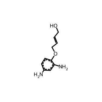 Nc1ccc(OCC=CCO)c(N)c1